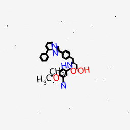 CC(C)Oc1ccc(C(=O)N[C@H](CCO)Cc2ccc(-c3cn4cccc(-c5ccccc5)c4n3)cc2)cc1C#N